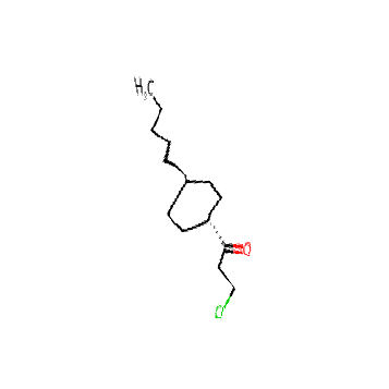 CCCCC[C@H]1CC[C@H](C(=O)CCCl)CC1